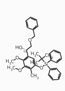 COc1c([C@H](O)COCc2ccccc2)cc(O[Si](c2ccccc2)(c2ccccc2)C(C)(C)C)c(C)c1OC